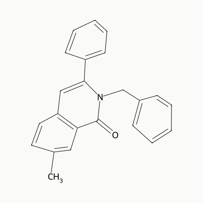 Cc1ccc2cc(-c3ccccc3)n(Cc3ccccc3)c(=O)c2c1